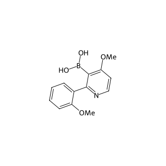 COc1ccccc1-c1nccc(OC)c1B(O)O